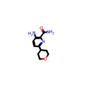 NC(=O)c1nc(C2CCOCC2)ccc1N